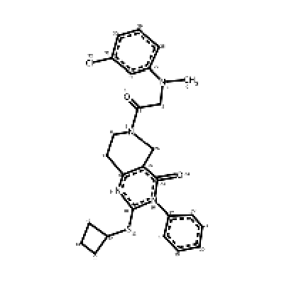 CN(CC(=O)N1CCc2nc(SC3CCC3)n(-c3ccccc3)c(=O)c2C1)c1cccc(Cl)c1